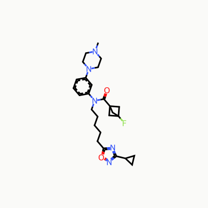 CN1CCN(c2cccc(N(CCCCCc3nc(C4CC4)no3)C(=O)C34CC(F)(C3)C4)c2)CC1